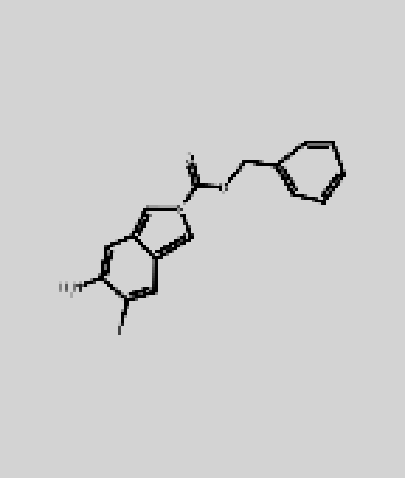 Nc1cc2cn(C(=O)OCc3ccccc3)cc2cc1I